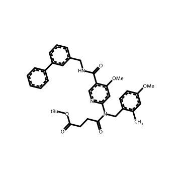 COc1ccc(CN(C(=O)CCC(=O)OC(C)(C)C)c2cc(OC)c(C(=O)NCc3cccc(-c4ccccc4)c3)cn2)c(C)c1